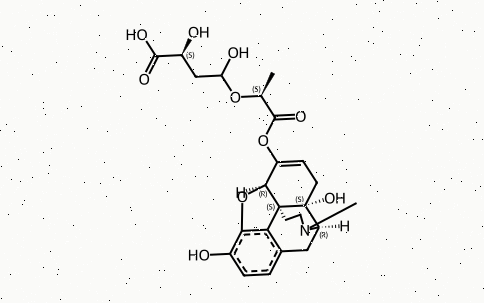 C[C@H](OC(O)C[C@H](O)C(=O)O)C(=O)OC1=CC[C@@]2(O)[C@H]3Cc4ccc(O)c5c4[C@@]2(CCN3C)[C@H]1O5